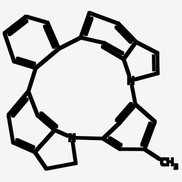 Cc1cc2cc(c1)n1ccc3ccc(cc31)c1ccccc1c1ccc3c(c1)n2CC3